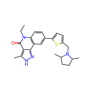 CCn1c(=O)c2c(C)[nH]nc2c2cc(-c3ccc(CN4C(C)CCC4C)s3)ccc21